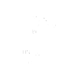 CN1C(=O)S/C(=C\c2cc3oc(=O)[nH]c3cc2Br)C1=O